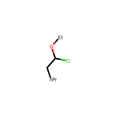 CCCCC(Cl)OCC